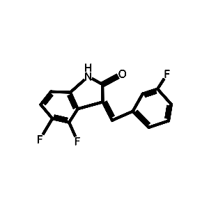 O=C1Nc2ccc(F)c(F)c2C1=Cc1cccc(F)c1